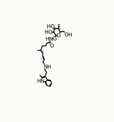 C/C(=C\C=C\CNCCc1c(C)[nH]c2ccccc12)CCCC(=O)NO[C@@H]1OC(CO)[C@H](F)[C@H](O)[C@H]1O